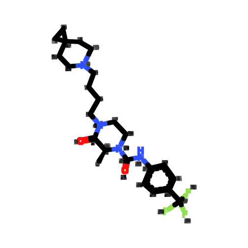 C[C@H]1C(=O)N(CCCCN2CCC3(CC2)CC3)CCN1C(=O)Nc1ccc(C(F)(F)F)cc1